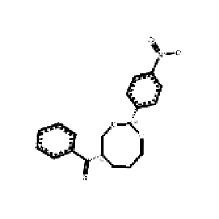 O=C(c1ccccc1)[C@H]1CCCO[C@@H](c2ccc([N+](=O)[O-])cc2)OC1